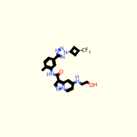 Cc1ccc(-c2nnn([C@H]3C[C@@H](C(F)(F)F)C3)n2)cc1NC(=O)c1cnn2ccc(NCCO)cc12